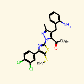 CCCSc1sc(-n2nc(C)c(Cc3ccccc3N)c2C(=O)OC)nc1-c1ccc(Cl)c(Cl)c1